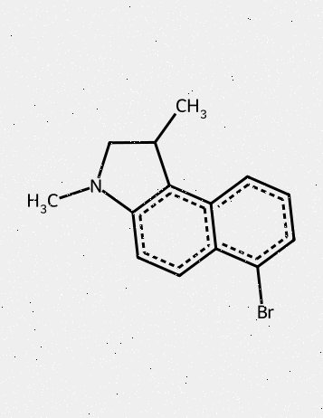 CC1CN(C)c2ccc3c(Br)cccc3c21